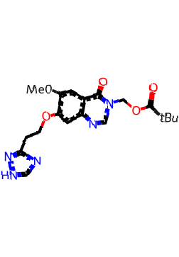 COc1cc2c(=O)n(COC(=O)C(C)(C)C)cnc2cc1OCCc1nc[nH]n1